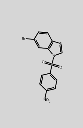 O=[N+]([O-])c1ccc(S(=O)(=O)n2cnc3ccc(Br)cc32)cc1